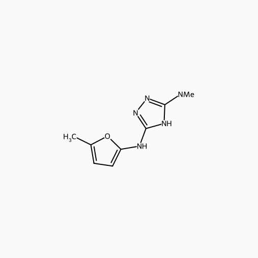 CNc1nnc(Nc2ccc(C)o2)[nH]1